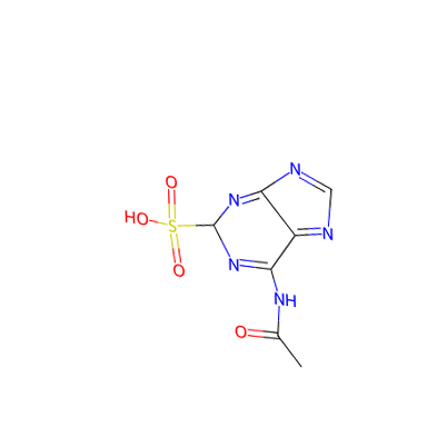 CC(=O)NC1=NC(S(=O)(=O)O)N=C2N=CN=C21